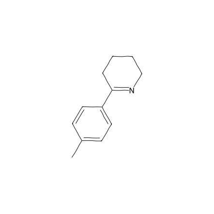 Cc1ccc(C2=NCCCC2)cc1